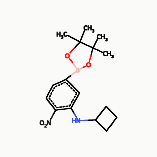 CC1(C)OB(c2ccc([N+](=O)[O-])c(NC3CCC3)c2)OC1(C)C